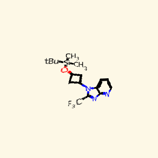 CC(C)(C)[Si](C)(C)OC1CC(n2c(C(F)(F)F)nc3ncccc32)C1